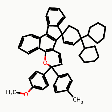 COc1ccc(C2(c3ccc(C)cc3)C=Cc3c4c(c5ccccc5c3O2)-c2ccccc2C42C=CC(C3CCCCC3)(C3CCCCC3)CC2)cc1